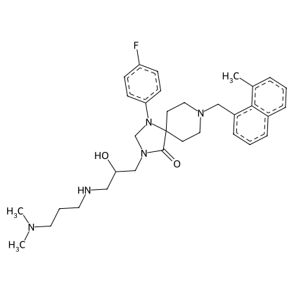 Cc1cccc2cccc(CN3CCC4(CC3)C(=O)N(CC(O)CNCCCN(C)C)CN4c3ccc(F)cc3)c12